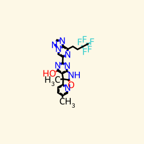 Cc1ccc(C2(C)C(=O)Nc3nc(-c4cn5ncnc5c(CCC(F)(F)C(F)(F)F)n4)nc(O)c32)nc1